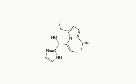 C=C(C)c1ccc(CC)n1/C(=C\C)C(O)c1ncc[nH]1